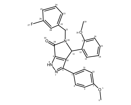 COc1ccc(-c2n[nH]c3c2C(c2ccccc2OC)N(Cc2cccc(F)c2)C3=O)cc1